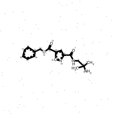 CC(C)(N)CNC(=O)c1cc(C(=O)OCc2ccccc2)on1